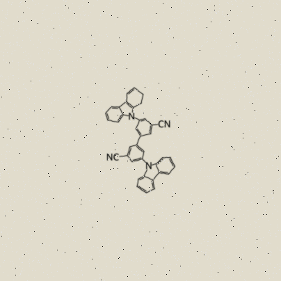 N#Cc1cc(-c2cc(C#N)cc(-n3c4ccccc4c4ccccc43)c2)cc(-n2c3c(c4ccccc42)C=CCC3)c1